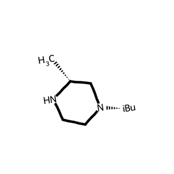 CC[C@@H](C)N1CCN[C@H](C)C1